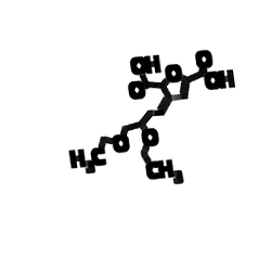 CCOCC(CC=C1C=C(C(=O)O)OC1C(=O)O)OCC